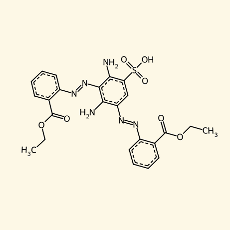 CCOC(=O)c1ccccc1/N=N/c1cc(S(=O)(=O)O)c(N)c(/N=N/c2ccccc2C(=O)OCC)c1N